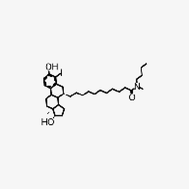 CCCCN(C)C(=O)CCCCCCCCCC[C@@H]1Cc2c(ccc(O)c2I)C2CC[C@@]3(C)C(CC[C@@H]3O)C21